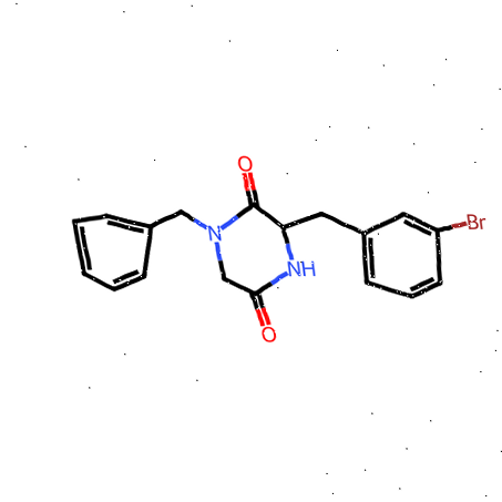 O=C1CN(Cc2ccccc2)C(=O)C(Cc2cccc(Br)c2)N1